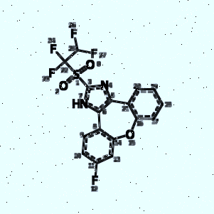 O=S(=O)(c1nc2c([nH]1)-c1ccc(F)cc1Oc1ccccc1-2)C(F)(F)C(F)F